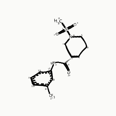 CS(=O)(=O)N1CCC[C@H](C(=O)Nc2cccc(C(F)(F)F)c2)C1